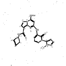 CNc1cc(Nc2cccn(-c3ccnn3C)c2=O)nc2c(C(=O)NC3CCC3)cnn12